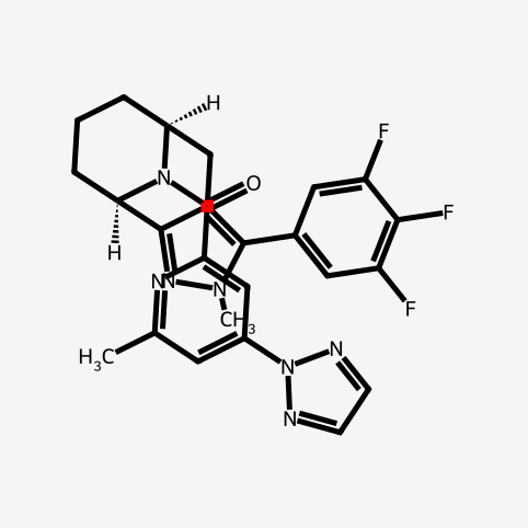 Cc1cc(-n2nccn2)cc(C(=O)N2[C@H]3CCC[C@@H]2c2nn(C)c(-c4cc(F)c(F)c(F)c4)c2C3)n1